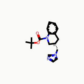 CC(C)(C)OC(=O)N1C[C@@H](Cn2ccnc2)Cc2ccccc21